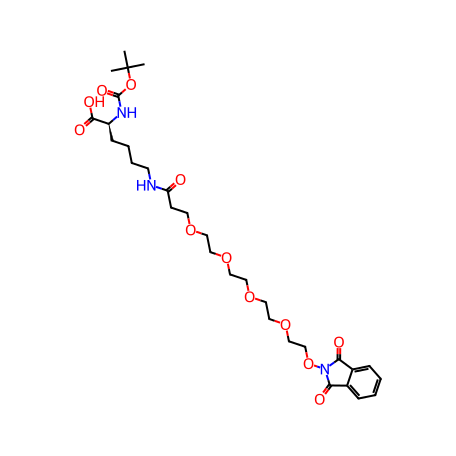 CC(C)(C)OC(=O)N[C@@H](CCCCNC(=O)CCOCCOCCOCCOCCON1C(=O)c2ccccc2C1=O)C(=O)O